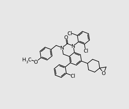 COc1ccc(CN2Cc3c(-c4ccccc4Cl)cc(C4CCC5(CC4)CO5)cc3N(c3c(Cl)cccc3Cl)C2=O)cc1